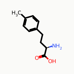 Cc1ccc(CC[C@@H](N)C(=O)O)cc1